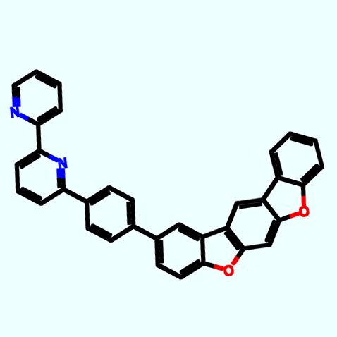 c1ccc(-c2cccc(-c3ccc(-c4ccc5oc6cc7oc8ccccc8c7cc6c5c4)cc3)n2)nc1